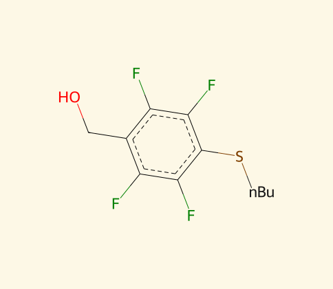 CCCCSc1c(F)c(F)c(CO)c(F)c1F